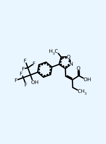 CCC(=Cc1noc(C)c1-c1ccc(C(O)(C(F)(F)F)C(F)(F)F)cc1)C(=O)O